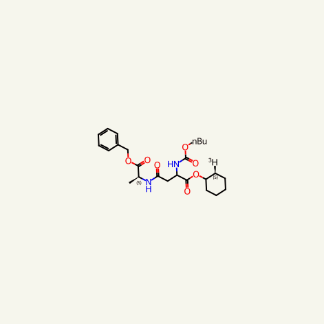 [3H][C@H]1CCCCC1OC(=O)C(CC(=O)N[C@@H](C)C(=O)OCc1ccccc1)NC(=O)OCCCC